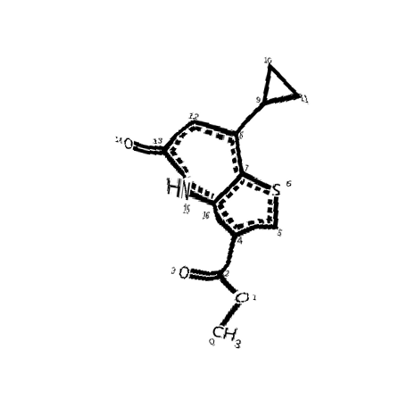 COC(=O)c1csc2c(C3CC3)cc(=O)[nH]c12